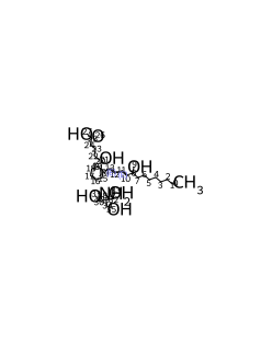 CCCCCCCCC(O)/C=C/C=C/[C@H]1CC=CC[C@@H]1C(O)CCCC(=O)O.NC(CO)(CO)CO